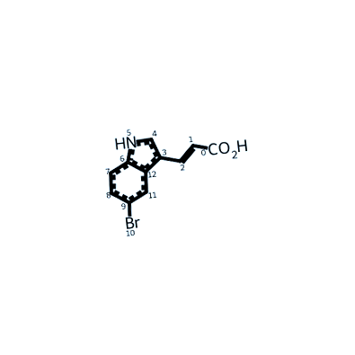 O=C(O)C=Cc1c[nH]c2ccc(Br)cc12